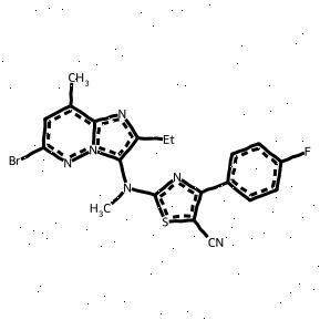 CCc1nc2c(C)cc(Br)nn2c1N(C)c1nc(-c2ccc(F)cc2)c(C#N)s1